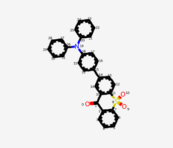 O=C1c2ccccc2S(=O)(=O)c2ccc(-c3ccc(N(c4ccccc4)c4ccccc4)cc3)cc21